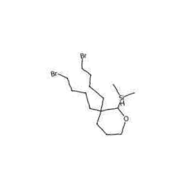 C[SiH](C)C1OCCCC1(CCCCBr)CCCCBr